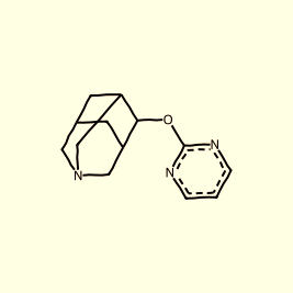 c1cnc(OC2C3CC4CC2CN(C4)C3)nc1